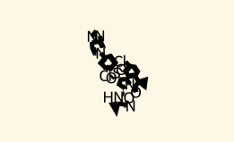 N#CC1(NC(=O)[C@@H]2C[C@@H](S(=O)(=O)c3ccc(-n4ccc5ncnc-5c4)cc3Cl)CN2C(=O)C2(c3ccc(Cl)cc3)CC2)CC1